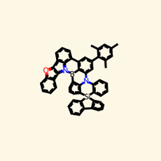 Cc1cc(C)c(-c2cc3c4c(c2)N2c5ccccc5[Si]5(c6ccccc6-c6ccccc65)c5cccc(c52)B4n2c4c-3cccc4c3oc4ccccc4c32)c(C)c1